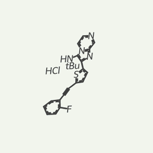 CC(C)(C)Nc1c(-c2ccc(C#Cc3ccccc3F)s2)nc2cnccn12.Cl